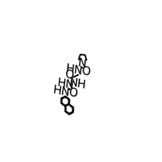 O=C(CNC(=O)N1CCCC1)NNC(=O)Nc1ccc2ccccc2c1